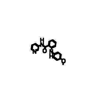 COc1ccc(Nc2ccccc2C(=O)Nc2cccnc2)cc1